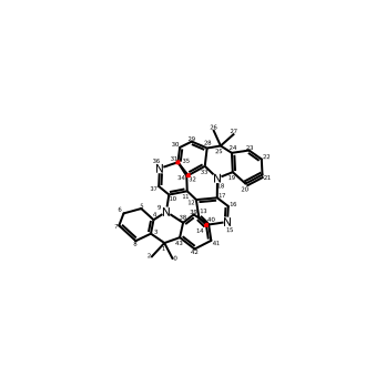 CC1(C)C2=C(CCC=C2)N(C2=C(c3c#cncc3N3c4c#cccc4C(C)(C)c4ccccc43)CCN=C2)c2ccccc21